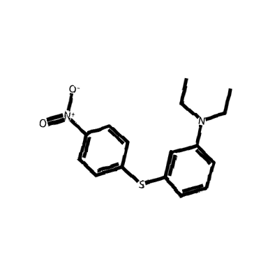 CCN(CC)c1cccc(Sc2ccc([N+](=O)[O-])cc2)c1